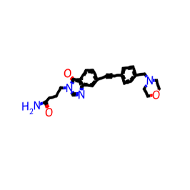 NC(=O)CCCn1cnc2cc(C#Cc3ccc(CN4CCOCC4)cc3)ccc2c1=O